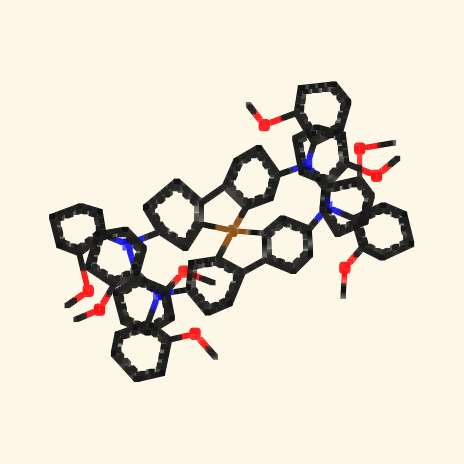 COc1ccccc1N(c1ccc2c(c1)S1(c3cc(N(c4ccccc4OC)c4ccccc4OC)ccc3-2)c2cc(N(c3ccccc3OC)c3ccccc3OC)ccc2-c2ccc(N(c3ccccc3OC)c3ccccc3OC)cc21)c1ccccc1OC